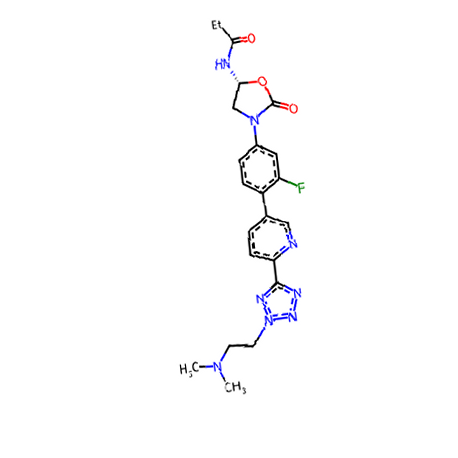 CCC(=O)N[C@H]1CN(c2ccc(-c3ccc(-c4nnn(CCN(C)C)n4)nc3)c(F)c2)C(=O)O1